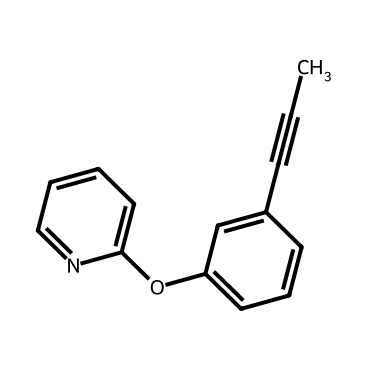 CC#Cc1cccc(Oc2ccccn2)c1